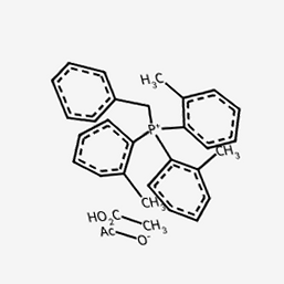 CC(=O)O.CC(=O)[O-].Cc1ccccc1[P+](Cc1ccccc1)(c1ccccc1C)c1ccccc1C